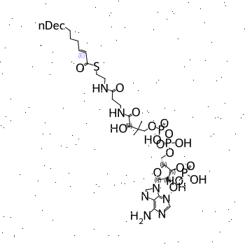 CCCCCCCCCCCCC/C=C/C(=O)SCCNC(=O)CCNC(=O)[C@H](O)C(C)(C)COP(=O)(O)OP(=O)(O)OC[C@H]1O[C@@H](n2cnc3c(N)ncnc32)[C@H](O)[C@@H]1OP(=O)(O)O